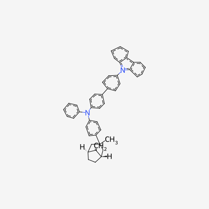 C=C1[C@H]2CC[C@H]1CC(C)(c1ccc(N(c3ccccc3)c3ccc(-c4ccc(-n5c6ccccc6c6ccccc65)cc4)cc3)cc1)C2